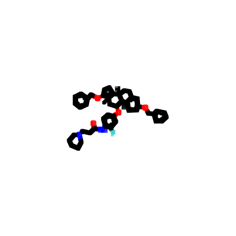 C[C@]12C[C@H](Oc3ccc(NC(=O)CCN4CCCCC4)c(F)c3)[C@@H]3c4ccc(OCc5ccccc5)cc4CC[C@H]3[C@@H]1CC[C@@H]2OCc1ccccc1